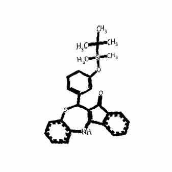 CC(C)(C)[Si](C)(C)OC1=CC(C2Sc3ccccc3NC3=C2C(=O)c2ccccc23)=CCC1